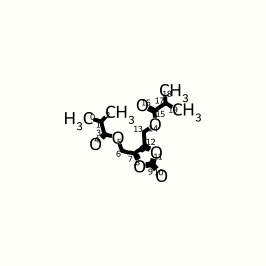 CC(C)C(=O)OCc1oc(=O)oc1COC(=O)C(C)C